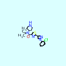 CC(C)N(C(=O)c1csc(-c2cnn(-c3ccccc3Cl)c2)n1)C1CCNCC1